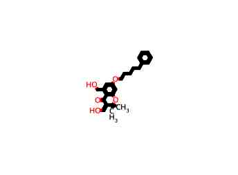 CC1(C)Oc2cc(OCCCCCc3ccccc3)cc(CO)c2C(=O)C1=CO